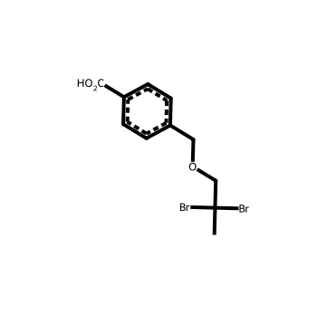 CC(Br)(Br)COCc1ccc(C(=O)O)cc1